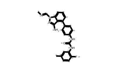 C/N=C/n1nc(N)c2c(-c3ccc(NC(=O)Nc4cc(C)ccc4F)cc3)cccc21